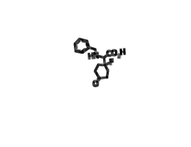 O=C1CCC(F)(C(NCc2ccccc2)C(=O)O)CC1